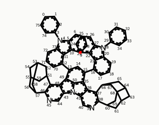 c1ccc(-n2c3ccccc3c3c(-c4cc(-c5cccc6c5c5ccccc5n6-c5ccccc5)c5c6c7c(ncc6n6c8cnc9c(c8c4c56)C4CC5CC(CC9C5)C4)C4CC5CC6CC7CC56C4)cccc32)cc1